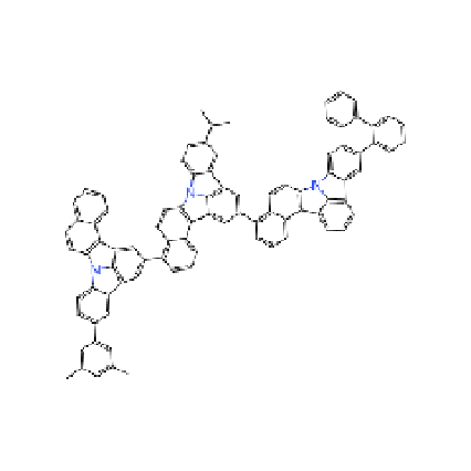 Cc1cc(C)cc(-c2ccc3c(c2)c2cc(-c4cccc5c4ccc4c5c5cc(-c6cccc7c6ccc6c7c7cccc8c9cc(-c%10ccccc%10-c%10ccccc%10)ccc9n6c87)cc6c7cc(C(C)C)ccc7n4c65)cc4c5c6ccccc6ccc5n3c24)c1